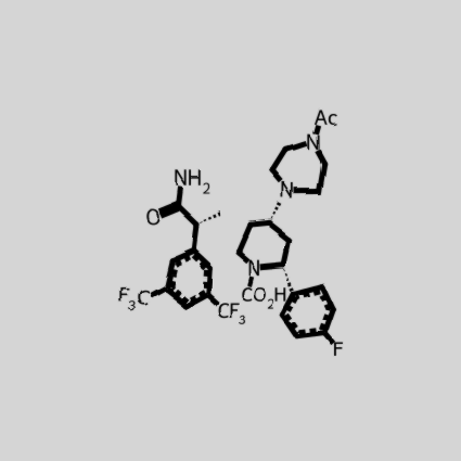 CC(=O)N1CCN([C@H]2CCN(C(=O)O)[C@@H](c3ccc(F)cc3)C2)CC1.C[C@@H](C(N)=O)c1cc(C(F)(F)F)cc(C(F)(F)F)c1